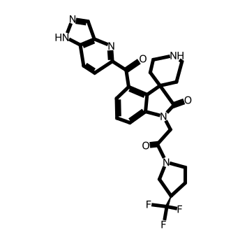 O=C(c1ccc2[nH]ncc2n1)c1cccc2c1C1(CCNCC1)C(=O)N2CC(=O)N1CC[C@@H](C(F)(F)F)C1